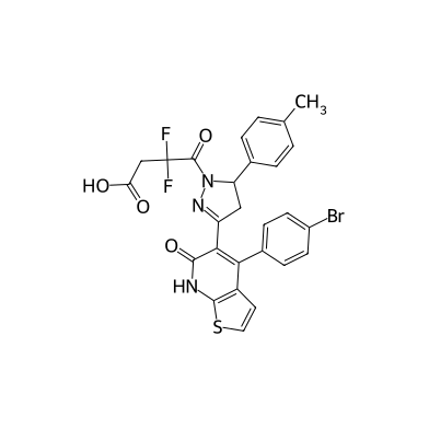 Cc1ccc(C2CC(c3c(-c4ccc(Br)cc4)c4ccsc4[nH]c3=O)=NN2C(=O)C(F)(F)CC(=O)O)cc1